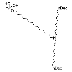 CCCCCCCCCCCCCCCCC=CN(C=CCCCCCCCCCCCCCCCC)CCCCCCCCCCCCCCOP(=O)(O)O